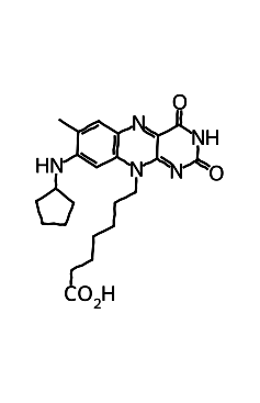 Cc1cc2nc3c(=O)[nH]c(=O)nc-3n(CCCCCCC(=O)O)c2cc1NC1CCCC1